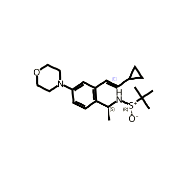 C[C@H](N[S@@+]([O-])C(C)(C)C)c1ccc(N2CCOCC2)cc1/C=C/C1CC1